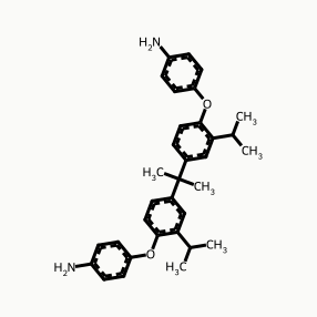 CC(C)c1cc(C(C)(C)c2ccc(Oc3ccc(N)cc3)c(C(C)C)c2)ccc1Oc1ccc(N)cc1